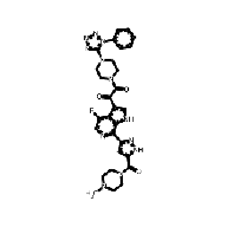 CN1CCN(C(=O)c2cc(-c3ncc(F)c4c(C(=O)C(=O)N5CCN(c6nnnn6-c6ccccc6)CC5)c[nH]c34)n[nH]2)CC1